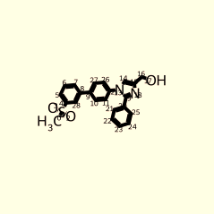 CS(=O)(=O)c1cccc(-c2ccc(-n3cc(CO)nc3-c3ccccc3)cc2)c1